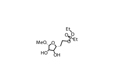 CCOP(=O)(CC)OCC[C@H]1O[C@@H](OC)[C@H](O)[C@@H]1O